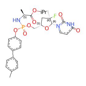 Cc1ccc(-c2ccc(OP(=O)(N[C@@H](C)C(=O)OC(C)C)OC[C@@H]3C[C@@](C)(F)[C@H](n4ccc(=O)[nH]c4=O)O3)cc2)cc1